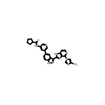 Cc1cn(-c2nccc3[nH]c(-c4n[nH]c5ccc(-c6cncc(NC(=O)C7CCCC7)c6)cc45)nc23)cn1